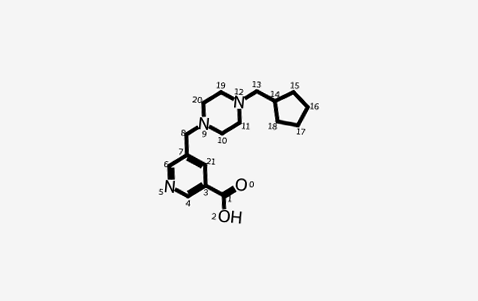 O=C(O)c1cncc(CN2CCN(CC3CCCC3)CC2)c1